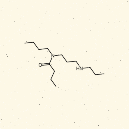 CCCCN(CCCNCCC)C(=O)CCC